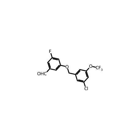 O=Cc1cc(F)cc(OCc2cc(Cl)cc(OC(F)(F)F)c2)c1